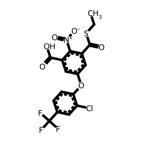 CCSC(=O)c1cc(Oc2ccc(C(F)(F)F)cc2Cl)cc(C(=O)O)c1[N+](=O)[O-]